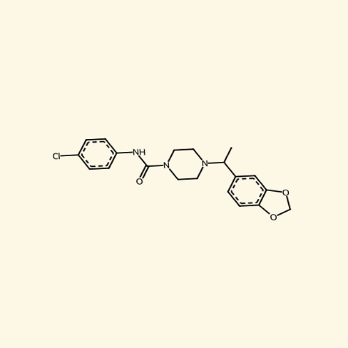 CC(c1ccc2c(c1)OCO2)N1CCN(C(=O)Nc2ccc(Cl)cc2)CC1